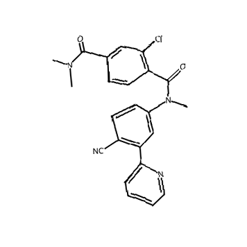 CN(C)C(=O)c1ccc(C(=O)N(C)c2ccc(C#N)c(-c3ccccn3)c2)c(Cl)c1